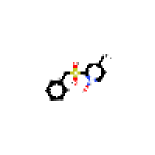 Cc1cc[n+]([O-])c(S(=O)(=O)Cc2ccccc2)c1